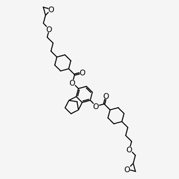 O=C(Oc1ccc(OC(=O)C2CCC(CCCOCC3CO3)CC2)c2c1C1CCC2C1)C1CCC(CCCOCC2CO2)CC1